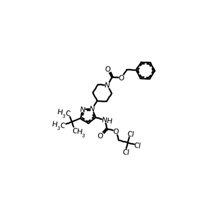 CC(C)(C)c1cc(NC(=O)OCC(Cl)(Cl)Cl)n(C2CCN(C(=O)OCc3ccccc3)CC2)n1